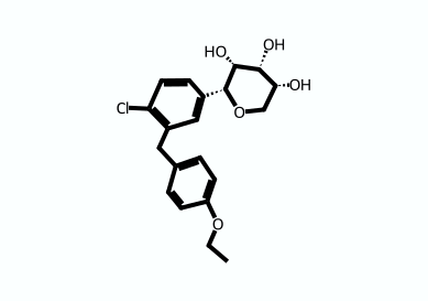 CCOc1ccc(Cc2cc([C@H]3OC[C@@H](O)[C@@H](O)[C@H]3O)ccc2Cl)cc1